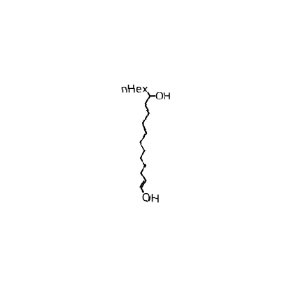 CCCCCCC(O)CCCCCCCCCC=CO